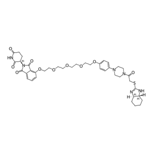 O=C1CC[C@@H](N2C(=O)c3cccc(OCCOCCOCCOCCOc4ccc(N5CCN(C(=O)CSC6=N[C@@H]7CCCC[C@H]7N6)CC5)cc4)c3C2=O)C(=O)N1